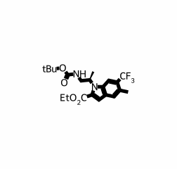 CCOC(=O)c1cc2cc(C)c(C(F)(F)F)cc2n1[C@H](C)CNC(=O)OC(C)(C)C